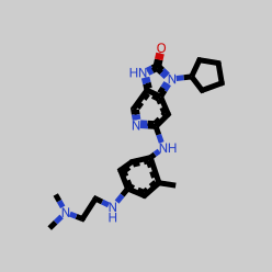 Cc1cc(NCCN(C)C)ccc1Nc1cc2c(cn1)[nH]c(=O)n2C1CCCC1